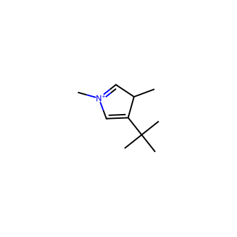 CC1C=[N+](C)C=C1C(C)(C)C